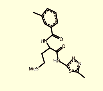 CSCCC(NC(=O)c1cccc(C)c1)C(=O)Nc1nnc(C)s1